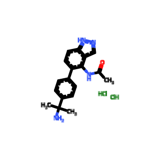 CC(=O)Nc1c(-c2ccc(C(C)(C)N)cc2)ccc2[nH]ncc12.Cl.Cl